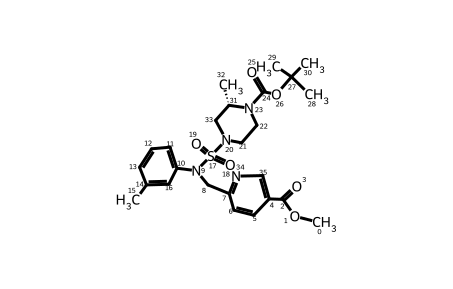 COC(=O)c1ccc(CN(c2cccc(C)c2)S(=O)(=O)N2CCN(C(=O)OC(C)(C)C)[C@@H](C)C2)nc1